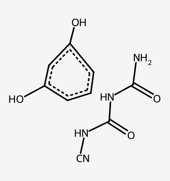 N#CNC(=O)NC(N)=O.Oc1cccc(O)c1